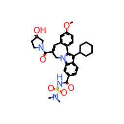 COc1ccc2c(c1)C=C(C(=O)N1CC[C@@H](O)C1)Cn1c-2c(C2CCCCC2)c2ccc(C(=O)NS(=O)(=O)N(C)C)cc21